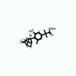 COC(=O)C(C)(C)c1cc(C)c([C@@H]2CC(=O)C3CC2C3(C)C)c(O)c1